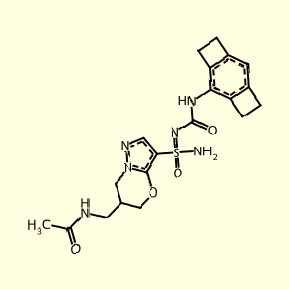 CC(=O)NCC1COc2c(S(N)(=O)=NC(=O)Nc3c4c(cc5c3CC5)CC4)cnn2C1